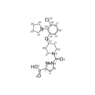 O=C(O)c1ccn(C(=O)N2CCC(Oc3cccc(Cl)c3N3CCCC3)CC2)n1